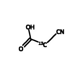 N#C[13CH2]C(=O)O